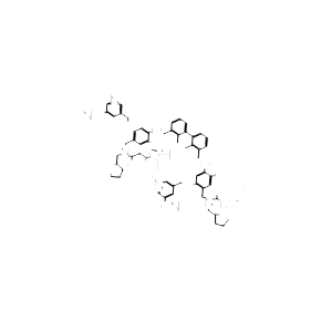 CCCC(C(=O)O)N(Cc1cc(Cl)c(OCc2cccc(-c3cccc(COc4cc(OCc5cncc(C#N)c5)c(CN(CC5CCCO5)C(CCO)C(=O)O)cc4Cl)c3C)c2C)cc1OCc1cncc(C#N)c1)CC1CCCO1